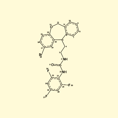 O=C(NCCC1c2ccccc2COc2ccc(Br)cc21)Nc1c(F)cc(F)cc1F